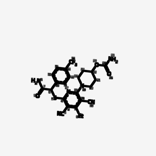 CCc1c(C#N)c(SC(C(N)=O)c2ccc(C(F)(F)F)cc2)nc(N2CCC(OC(N)=O)CC2)c1C#N